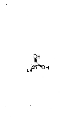 OOO.[La].[Zn]